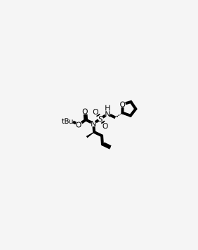 C=CC[C@@H](C)N(C(=O)OC(C)(C)C)S(=O)(=O)NC[C@H]1CCCO1